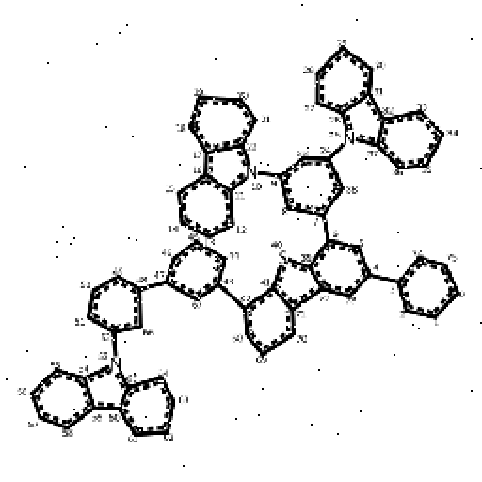 c1ccc(-c2cc(-c3cc(-n4c5ccccc5c5ccccc54)cc(-n4c5ccccc5c5ccccc54)c3)c3sc4c(-c5cccc(-c6cccc(-n7c8ccccc8c8ccccc87)c6)c5)cccc4c3c2)cc1